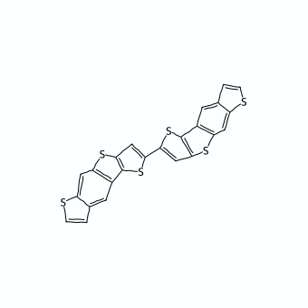 c1cc2cc3c(cc2s1)sc1cc(-c2cc4sc5cc6sccc6cc5c4s2)sc13